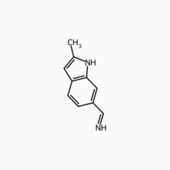 Cc1cc2ccc(C=N)cc2[nH]1